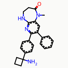 CN1C(=O)CCNc2nc(-c3ccc(C4(N)CCC4)cc3)c(-c3ccccc3)cc21